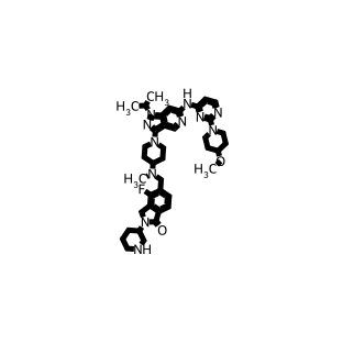 COC1CCN(c2nccc(Nc3cc4c(cn3)c(N3CCC(N(C)Cc5ccc6c(c5F)CN(C5CCCNC5)C6=O)CC3)nn4C(C)C)n2)CC1